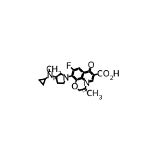 C[C@H]1COc2c(N3CC[C@@H](N(C)C4CC4)C3)c(F)cc3c(=O)c(C(=O)O)cn1c23